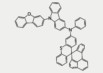 c1ccc(N(c2ccc3c(c2)Sc2ccccc2C32c3ccccc3-c3cccc4cccc2c34)c2ccc3c(c2)c2ccccc2n3-c2ccc3c(c2)oc2ccccc23)cc1